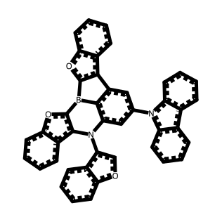 c1ccc2c(N3c4cc(-n5c6ccccc6c6ccccc65)cc5c4B(c4oc6ccccc6c4-5)c4oc5ccccc5c43)coc2c1